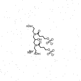 CCCCCCCCCCCCN(CC(O)CN(CCCCCCCCCCCC)C(=O)CCCOS(=O)(=O)[O-])C(=O)CCCOS(=O)(=O)[O-].[Na+].[Na+]